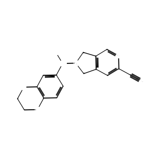 N#Cc1cc2c(cn1)CN([S+]([O-])c1ccc3c(c1)OCCO3)C2